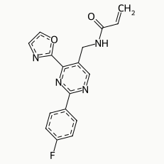 C=CC(=O)NCc1cnc(-c2ccc(F)cc2)nc1-c1ncco1